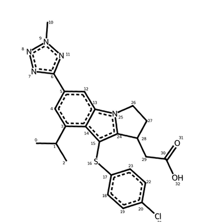 CC(C)c1cc(-c2nnn(C)n2)cc2c1c(Sc1ccc(Cl)cc1)c1n2CCC1CC(=O)O